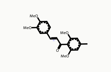 COc1ccc(/C=C/C(=O)c2c(OC)cc(C)cc2OC)cc1OC